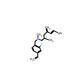 C=Cc1ccc(CN(C)CC(C)CC(=C)C=CCCC)c(F)c1